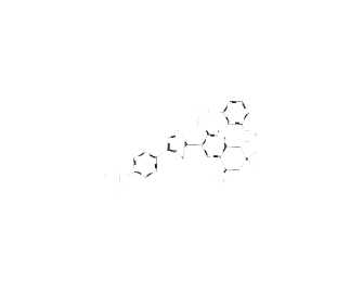 CCc1cccc(CC)c1-n1c2c(cc(-c3nc(-c4ccc(C(F)(F)F)cc4)cs3)c1=O)C(=O)CC(C)(C)C2